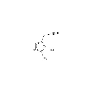 C#CCc1c[nH]c(N)n1.Cl